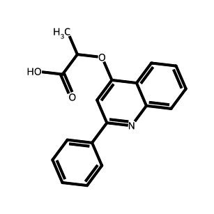 CC(Oc1cc(-c2ccccc2)nc2ccccc12)C(=O)O